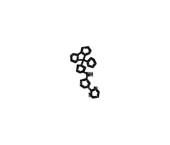 c1ccc(C2(c3cccc(Nc4cccc(-c5ncccn5)c4)c3)c3ccccc3-c3ccccc32)cc1